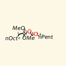 CCCCCCCCC[Si](OC)(OC)OCOCCCCC